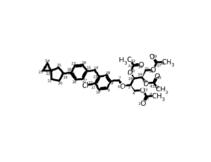 CC(=O)OC[C@@H](OCc1ccc(Cl)c(Cc2ccc(C3CCC4(CC4)C3)cc2)c1)[C@@H](OC(C)=O)[C@@H](COC(C)=O)OC(C)=O